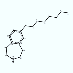 CCCCCCCCc1ccc2c(c1)CCNCC2